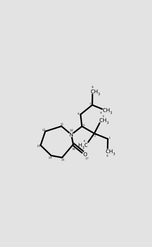 CCC(C)(C)C(CC(C)C)N1CCCCCC1=O